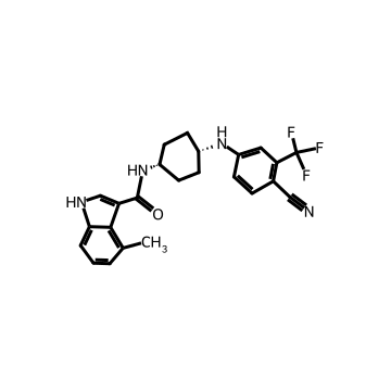 Cc1cccc2[nH]cc(C(=O)N[C@H]3CC[C@@H](Nc4ccc(C#N)c(C(F)(F)F)c4)CC3)c12